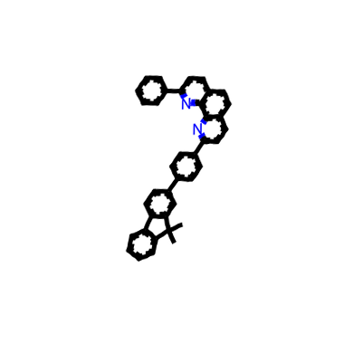 CC1(C)c2ccccc2-c2ccc(-c3ccc(-c4ccc5ccc6ccc(-c7ccccc7)nc6c5n4)cc3)cc21